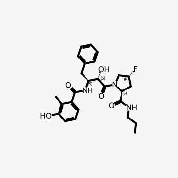 CCCNC(=O)[C@@H]1C[C@@H](F)CN1C(=O)[C@@H](O)[C@H](Cc1ccccc1)NC(=O)c1cccc(O)c1C